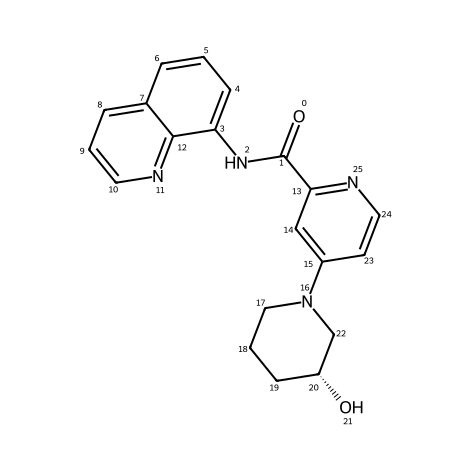 O=C(Nc1cccc2cccnc12)c1cc(N2CCC[C@@H](O)C2)ccn1